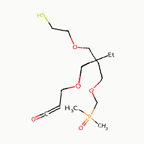 CCC(COCC=C=O)(COCCS)COCP(C)(C)=O